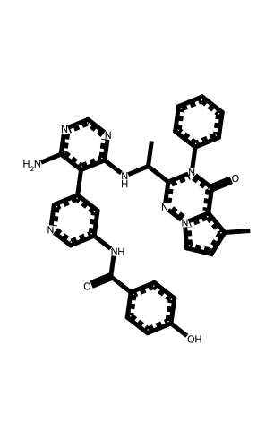 Cc1ccn2nc(C(C)Nc3ncnc(N)c3-c3cncc(NC(=O)c4ccc(O)cc4)c3)n(-c3ccccc3)c(=O)c12